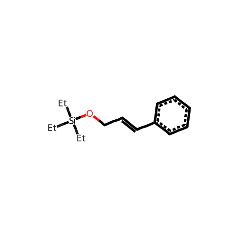 CC[Si](CC)(CC)OC/C=C/c1ccccc1